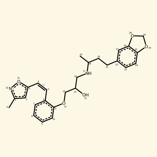 Cc1cc(/C=C\c2ccccc2OCC(O)CNC(C)CCc2ccc3c(c2)OCO3)on1